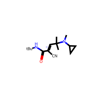 CN(C1CC1)C(C)(C)/C=C(\C#N)C(=O)NC(C)(C)C